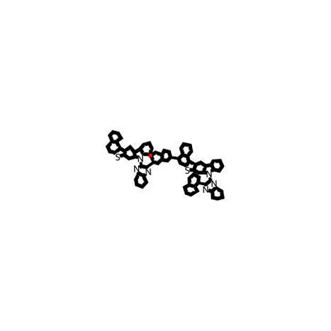 c1ccc2c(-c3nc4ccccc4nc3-n3c4ccccc4c4cc5c(cc43)sc3cc(-c4ccc6ccc(-c7nc8ccccc8nc7-n7c8ccccc8c8cc9c(cc87)sc7ccc8ccccc8c79)cc6c4)c4ccccc4c35)cccc2c1